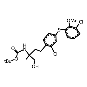 COc1c(Cl)cccc1Sc1ccc(CCC(C)(CO)NC(=O)OC(C)(C)C)c(Cl)c1